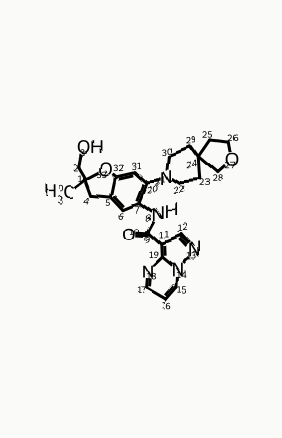 CC1(CO)Cc2cc(NC(=O)c3cnn4cccnc34)c(N3CCC4(CCOC4)CC3)cc2O1